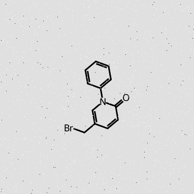 O=c1ccc(CBr)cn1-c1ccccc1